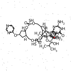 CC(C)[Si](O)(O[Si](O[C@H]1[C@H]2O[P@](=O)(S)OC[C@H]3C[C@@H](Oc4ccncn4)C[C@@H]3O[P@](=O)(S)OC[C@H]1O[C@H]2n1cnc2c(=O)[nH]c(N)nc21)(C(C)C)C(C)C)C(C)C